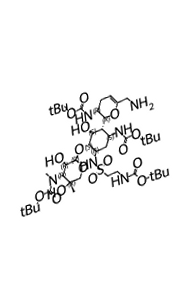 CN(C(=O)OC(C)(C)C)[C@@H]1[C@@H](O)[C@@H](O[C@H]2[C@H](NS(=O)(=O)CCNC(=O)OC(C)(C)C)C[C@H](NC(=O)OC(C)(C)C)C([C@H]3OC(CN)=CC[C@H]3NC(=O)OC(C)(C)C)[C@@H]2O)OC[C@]1(C)O